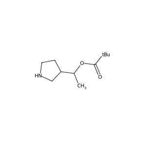 CC(OC(=O)C(C)(C)C)C1CCNC1